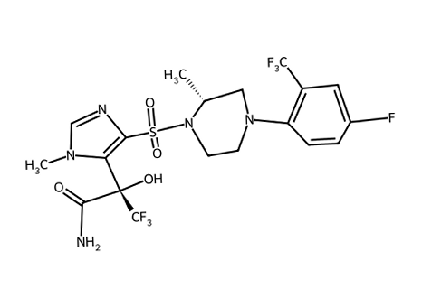 C[C@@H]1CN(c2ccc(F)cc2C(F)(F)F)CCN1S(=O)(=O)c1ncn(C)c1[C@](O)(C(N)=O)C(F)(F)F